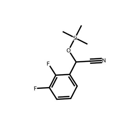 C[Si](C)(C)OC(C#N)c1cccc(F)c1F